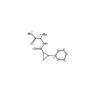 CC(C)(C)C(=O)C(NC(=O)C1CC1c1ccccc1)C(C)(C)C